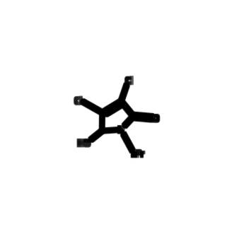 CCCN1C(=O)C(Cl)=C(Cl)C1O